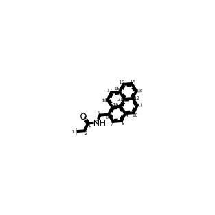 O=C(CI)NCc1ccc2ccc3cccc4ccc1c2c34